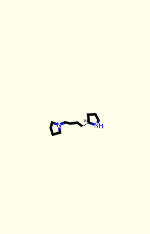 C(CCN1CCCC1)C[C@@H]1CCCN1